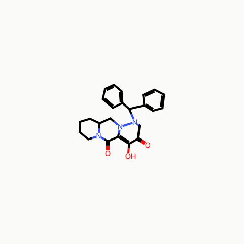 O=C1CN(C(c2ccccc2)c2ccccc2)N2CC3CCCCN3C(=O)C2=C1O